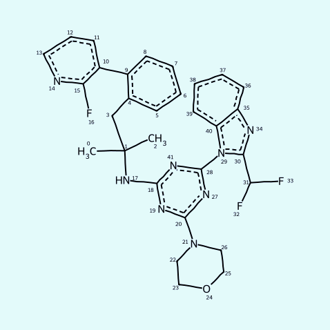 CC(C)(Cc1ccccc1-c1cccnc1F)Nc1nc(N2CCOCC2)nc(-n2c(C(F)F)nc3ccccc32)n1